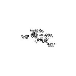 CCC(C(=O)N1CCCCC1C(=O)O[C@H](CCc1ccc(OC)c(OC)c1)c1cccc(OCC(=O)NCC(CNC(=O)COc2cccc([C@@H](CCc3ccc(OC)c(OC)c3)OC(=O)[C@@H]3CCCCN3C(=O)C(CC)c3cc(OC)c(OC)c(OC)c3)c2)CN(C)C)c1)c1cc(OC)c(OC)c(OC)c1